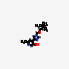 Cc1cc(-c2cn(COCC[Si](C)(C)C)cn2)c(O)cn1